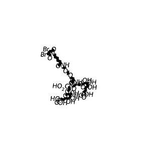 O=C(CCCCCN1C(=O)C(Br)=C(Br)C1=O)NCCOCCOCCC(=O)N[C@@H](CO[C@H]1OC(CCP(=O)(O)O)[C@@H](O)[C@H](O)C1O)C(=O)N[C@@H](COC1OC(CCP(=O)(O)O)C(O)C(O)C1O)C(=O)O